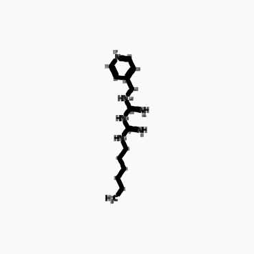 CCCCCCNC(=N)NC(=N)NCc1ccncc1